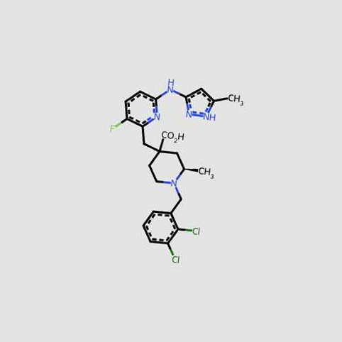 Cc1cc(Nc2ccc(F)c(CC3(C(=O)O)CCN(Cc4cccc(Cl)c4Cl)[C@H](C)C3)n2)n[nH]1